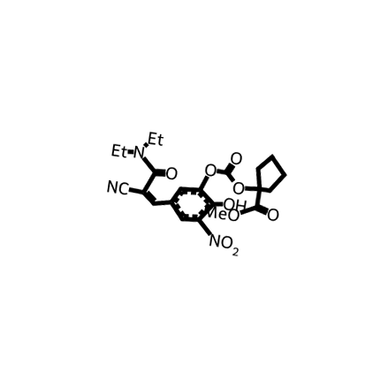 CCN(CC)C(=O)C(C#N)=Cc1cc(OC(=O)OC2(C(=O)OC)CCCC2)c(O)c([N+](=O)[O-])c1